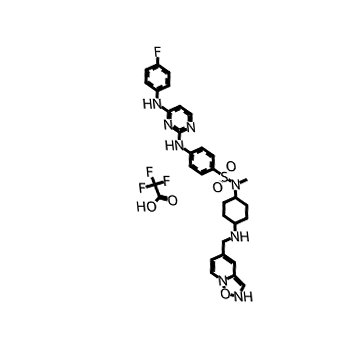 CN(C1CCC(NCC2=CC3=CNON3C=C2)CC1)S(=O)(=O)c1ccc(Nc2nccc(Nc3ccc(F)cc3)n2)cc1.O=C(O)C(F)(F)F